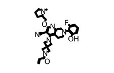 C=CC(=O)N1CC2(C1)CN(c1c(C#N)c(OCC3CCCN3C)nc3c1CCN(c1c(O)cccc1F)C3)C2